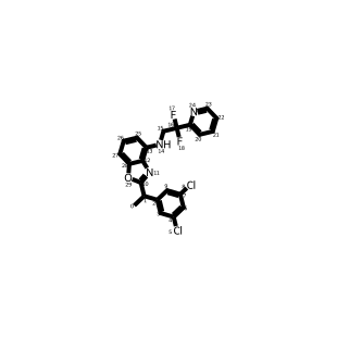 CC(c1cc(Cl)cc(Cl)c1)c1nc2c(NCC(F)(F)c3ccccn3)cccc2o1